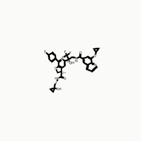 C[C@]1(C(=O)NCCC2(O)CC2)COc2c1cc([C@@](O)(CNC(=O)c1cc(OC3CC3)c3ncccc3c1)C(F)(F)F)nc2-c1ccc(F)cc1